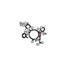 CCC(=O)NCCCO[C@H]1[C@H](O[C@@H]2[C@@H](C)[C@H](O[C@H]3C[C@@](C)(OC)[C@@H](O)[C@H](C)O3)C(C)C(O)N[C@@H](Cc3ccccc3)CC(=O)N(C)C[C@H](C)C[C@@]2(C)O)O[C@H](C)C[C@@H]1N(C)C